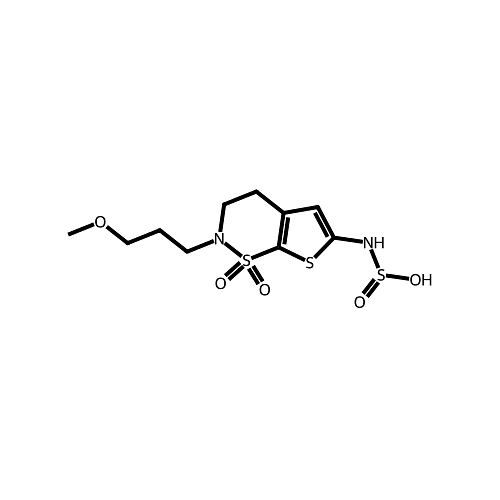 COCCCN1CCc2cc(NS(=O)O)sc2S1(=O)=O